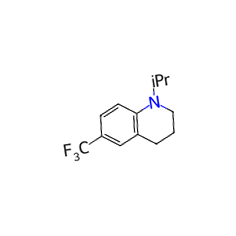 CC(C)N1CCCc2cc(C(F)(F)F)ccc21